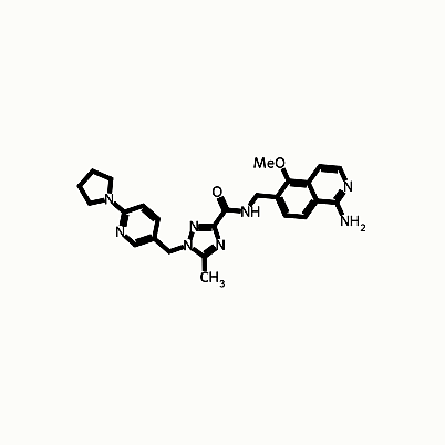 COc1c(CNC(=O)c2nc(C)n(Cc3ccc(N4CCCC4)nc3)n2)ccc2c(N)nccc12